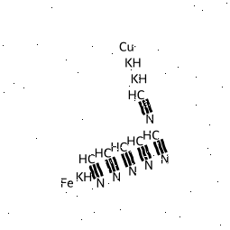 C#N.C#N.C#N.C#N.C#N.C#N.[Cu].[Fe].[KH].[KH].[KH]